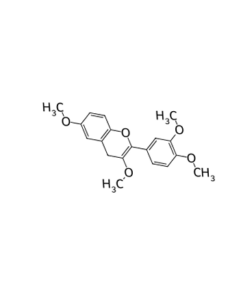 COC1=C(c2ccc(OC)c(OC)c2)Oc2ccc(OC)cc2C1